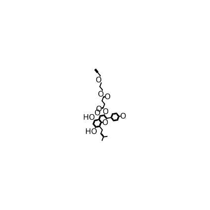 C#CCOCCCOC(=O)CCC(=O)Oc1c(-c2ccc(OC)cc2)oc2c(CC=C(C)C)c(O)cc(O)c2c1=O